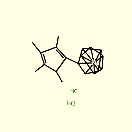 CC1=C(C)C(C)C([C]23[CH]4[CH]5[CH]6[CH]2[Zr]56432789[CH]3[CH]2[CH]7[CH]8[CH]39)=C1C.Cl.Cl